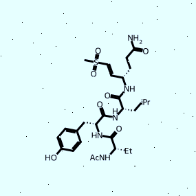 CC[C@H](NC(C)=O)C(=O)N[C@H](Cc1ccc(O)cc1)C(=O)N[C@@H](CC(C)C)C(=O)N[C@H](/C=C/S(C)(=O)=O)CCC(N)=O